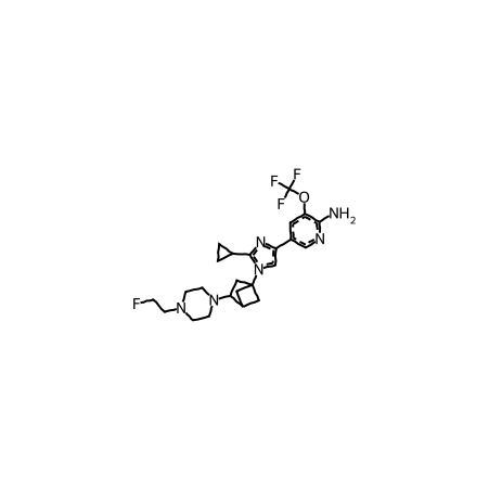 Nc1ncc(-c2cn(C34CC(C3)C(N3CCN(CCF)CC3)C4)c(C3CC3)n2)cc1OC(F)(F)F